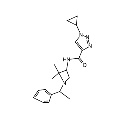 CC(c1ccccc1)N1CC(NC(=O)c2cn(C3CC3)nn2)C1(C)C